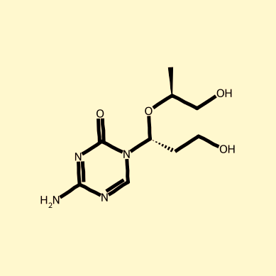 C[C@@H](CO)O[C@H](CCO)n1cnc(N)nc1=O